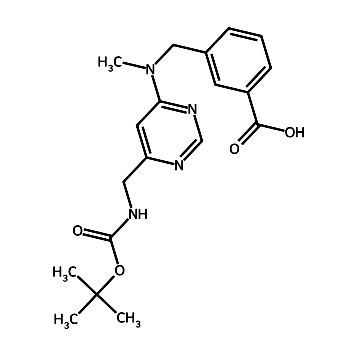 CN(Cc1cccc(C(=O)O)c1)c1cc(CNC(=O)OC(C)(C)C)ncn1